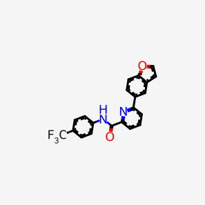 O=C(Nc1ccc(C(F)(F)F)cc1)c1cccc(-c2ccc3occc3c2)n1